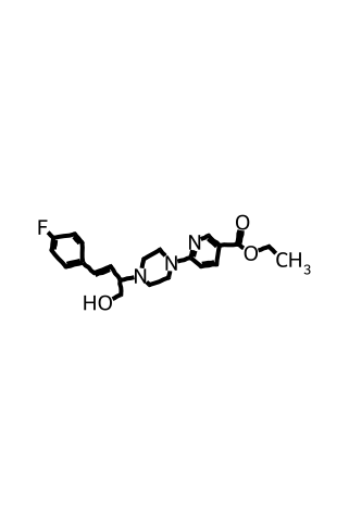 CCOC(=O)c1ccc(N2CCN(C(/C=C/c3ccc(F)cc3)CO)CC2)nc1